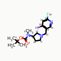 CN(C(=O)OC(C)(C)C)C1CCN(Cc2cnc(F)cc2I)C1